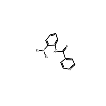 CCN(CC)c1ccccc1NC(=O)c1ccncc1